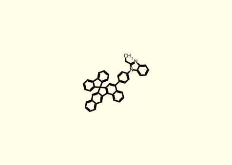 CCc1nc2ccccc2n1-c1ccc(-c2cc3c(c4ccccc24)-c2cc4ccccc4cc2C32c3ccccc3-c3ccccc32)cc1